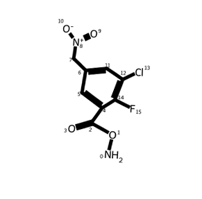 NOC(=O)c1cc(C[N+](=O)[O-])cc(Cl)c1F